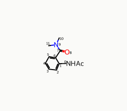 CC(=O)Nc1ccccc1C(=O)N(C)C